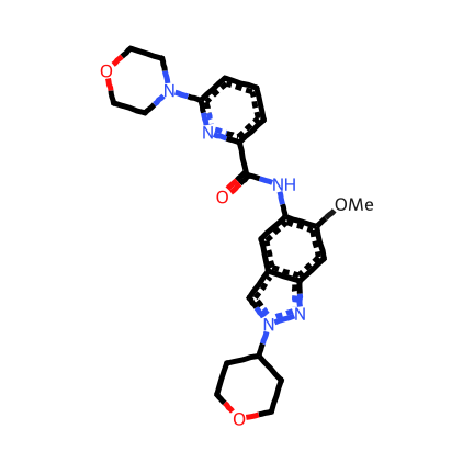 COc1cc2nn(C3CCOCC3)cc2cc1NC(=O)c1cccc(N2CCOCC2)n1